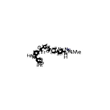 CCN(C(=O)C1CCN(CC(=O)N2CCN(c3ccc(C(=N)/N=C\NC)cn3)CC2)C1)c1ccc2[nH]nc(-c3ccc(OC(C)C)nc3)c2c1